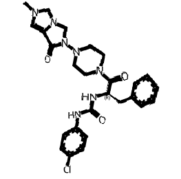 CN1C=C2C(=O)N(N3CCN(C(=O)[C@@H](Cc4ccccc4)NC(=O)Nc4ccc(Cl)cc4)CC3)CN2C1